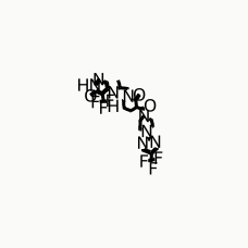 CC(CN1CCCC(C(=O)N2CCN(c3ncc(C(F)(F)F)cn3)CC2)C1=O)Nc1cn[nH]c(=O)c1C(F)(F)F